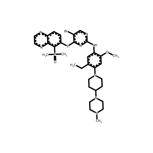 CCc1cc(Nc2ncc(Br)c(Sc3ccc4nccnc4c3P(C)(C)=O)n2)c(OC)cc1N1CCC(N2CCN(C)CC2)CC1